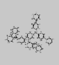 c1ccc(-c2ccc(N(c3ccc(-c4ccccc4)cc3)c3ccc(-c4cccc(-n5c6ccccc6c6ccccc65)c4)c(-c4cccc5c4oc4ccccc45)c3)cc2)cc1